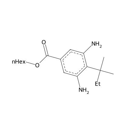 CCCCCCOC(=O)c1cc(N)c(C(C)(C)CC)c(N)c1